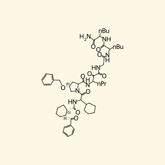 CCCCC(NC(=O)C(CCCC)NC(=O)CNC(=O)C(=O)C(CCC)NC(=O)C1C[C@@H](OCc2ccccc2)CN1C(=O)C(NC(=O)[C@H]1CCCC[C@H]1C(=O)c1ccccc1)C1CCCCC1)C(N)=O